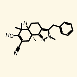 Cn1nc2c(c1Cc1ccccc1)CC[C@H]1C(C)(C)C(O)=C(C#N)C[C@]21C